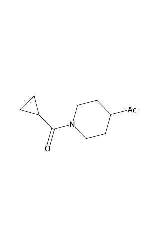 CC(=O)C1CCN(C(=O)C2CC2)CC1